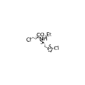 CCOC(=O)[C@H](CCCl)NSCCc1ccc(Cl)s1